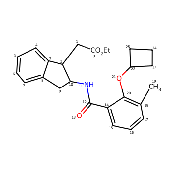 CCOC(=O)CC1c2ccccc2CC1NC(=O)c1cccc(C)c1OC1CCC1